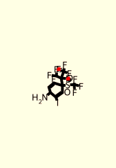 NC1C=CC(C(F)(C(F)(F)F)C(F)(F)Br)(S(=O)(=O)C(F)(F)F)C=C1I